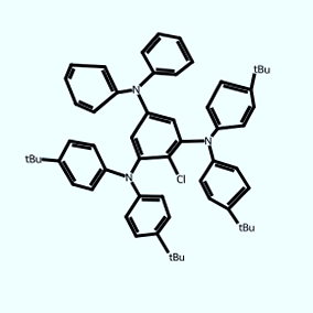 CC(C)(C)c1ccc(N(c2ccc(C(C)(C)C)cc2)c2cc(N(c3ccccc3)c3ccccc3)cc(N(c3ccc(C(C)(C)C)cc3)c3ccc(C(C)(C)C)cc3)c2Cl)cc1